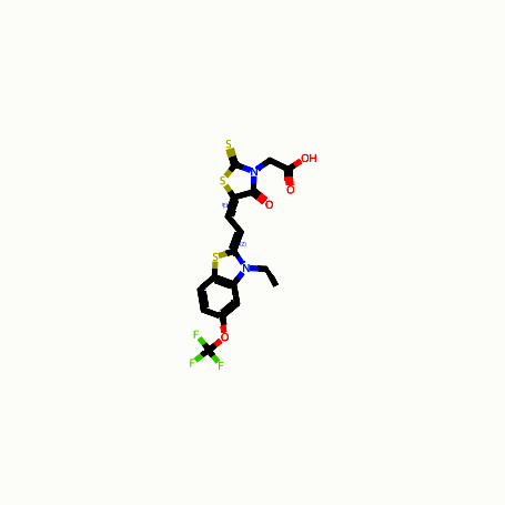 CCN1/C(=C/C=C2/SC(=S)N(CC(=O)O)C2=O)Sc2ccc(OC(F)(F)F)cc21